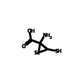 NC1(C(=O)O)[Se]C1S